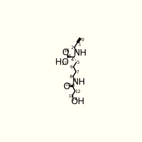 C#CCN[C@H](CCCCNC(=O)CCO)C(=O)O